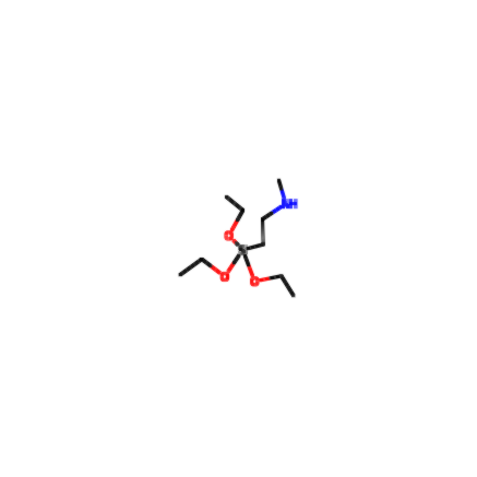 CCO[Si](CCNC)(OCC)OCC